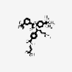 CCCCC(c1ccc(C(=O)NCCC(=O)O)cc1)N1C(=O)C(C2C=CC=C(C(F)(F)F)C2)=NC12CCC(C(C)(C)C)CC2